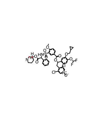 COc1ccc(C(=O)OC(Cc2c(Cl)c[n+]([O-])cc2Cl)c2ccc(OC(F)F)c(OCC3CC3)c2)cc1S(=O)(=O)NC(C(=O)O[C@H]1CN2CCC1CC2)c1ccccc1